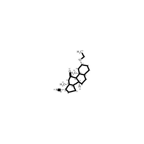 CCO[C@@H]1CCC2CC[C@@H]3C(C(=O)C[C@@]4(C)C3CC[C@@H]4C#N)[C@@]2(C)C1